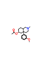 COc1cccc(C23CCN(C)CC2CCC(OC(C)=O)C3)c1